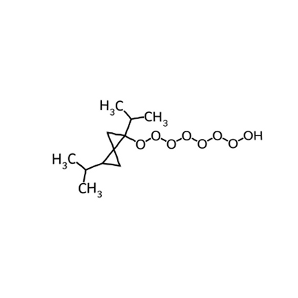 CC(C)C1CC12CC2(OOOOOOOO)C(C)C